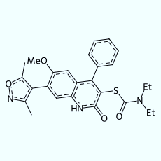 CCN(CC)C(=O)Sc1c(-c2ccccc2)c2cc(OC)c(-c3c(C)noc3C)cc2[nH]c1=O